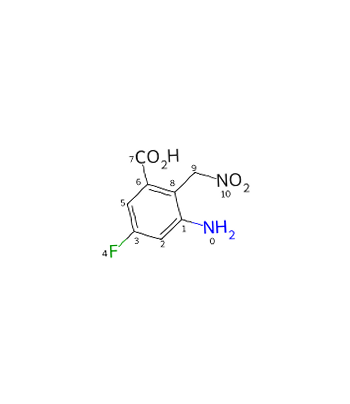 Nc1cc(F)cc(C(=O)O)c1C[N+](=O)[O-]